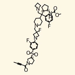 CC#CC(=O)N1CC[C@H](S(=O)(=O)c2ccc(N3CC(F)(CN4CCC(C(CN5CCC5)(c5cccc(F)c5)[C@H]5CCC[C@@H]5NC(=O)OC)CC4)C3)c(F)c2)C1